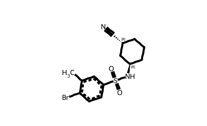 Cc1cc(S(=O)(=O)N[C@@H]2CCC[C@@H](C#N)C2)ccc1Br